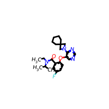 CCN(C(=O)c1cc(F)ccc1Oc1cncnc1N1CC2(CCCCC2)C1)C(C)C